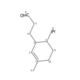 CC1=CC(CCC=O)C(C(C)C)CC1